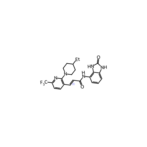 CCC1CCN(c2nc(C(F)(F)F)ccc2/C=C/C(=O)Nc2cccc3[nH]c(=O)[nH]c23)CC1